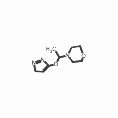 CC(OC1=CCN=N1)N1CCOCC1